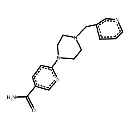 NC(=O)c1ccc(N2CCN(Cc3cccnc3)CC2)nc1